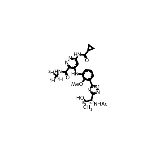 [2H]C([2H])([2H])NC(=O)c1nnc(NC(=O)C2CC2)cc1Nc1cccc(-c2nc([C@H](NC(C)=O)[C@H](C)O)no2)c1OC